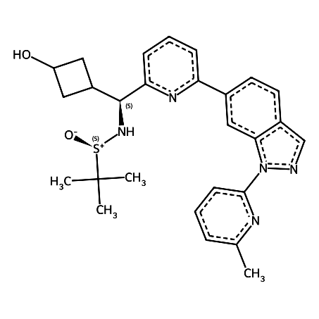 Cc1cccc(-n2ncc3ccc(-c4cccc([C@@H](N[S@+]([O-])C(C)(C)C)C5CC(O)C5)n4)cc32)n1